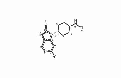 O=c1[nH]c2ccc(Cl)cc2n1[C@H]1CC[C@H](NCl)CC1